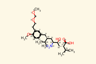 COCOCCc1cc(C[C@@H](C[C@H](N)[C@@H](O)C[C@H](C(=O)O)C(C)C)C(C)C)ccc1OC